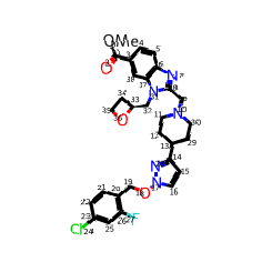 COC(=O)c1ccc2nc(CN3CCC(c4ccn(OCc5ccc(Cl)cc5F)n4)CC3)n(C[C@@H]3CCO3)c2c1